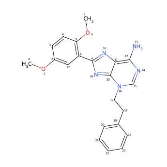 COc1ccc(OC)c(-c2nc3c(N)ncn(CCc4ccccc4)c-3n2)c1